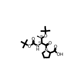 C[C@@H](OC(C)(C)C)[C@H](NC(=O)OC(C)(C)C)C(=O)N1CCCC1C(=O)O